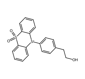 O=S1(=O)c2ccccc2[S+](c2ccc(CCO)cc2)c2ccccc21